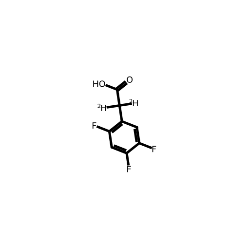 [2H]C([2H])(C(=O)O)c1cc(F)c(F)cc1F